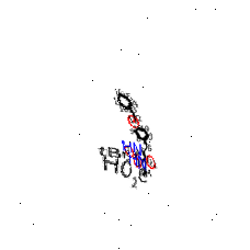 CC(C)(C)OC(=O)N[C@@H](Cc1ccc(OCc2ccccc2)cc1)C(=O)NCC(=O)O